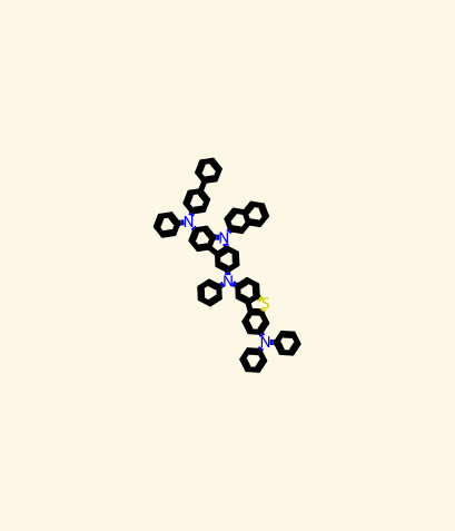 c1ccc(-c2ccc(N(c3ccccc3)c3ccc4c5cc(N(c6ccccc6)c6ccc7sc8cc(N(c9ccccc9)c9ccccc9)ccc8c7c6)ccc5n(-c5ccc6ccccc6c5)c4c3)cc2)cc1